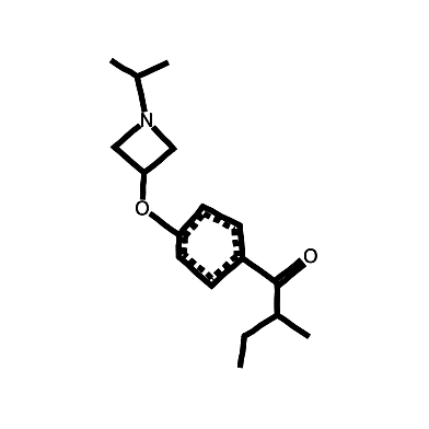 CCC(C)C(=O)c1ccc(OC2CN(C(C)C)C2)cc1